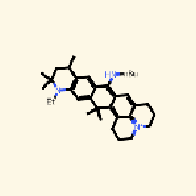 CCCCNC1=c2cc3c4c(c2C(C)(C)c2cc5c(cc21)C(C)CC(C)(C)N5CC)CCC[N+]=4CCC3